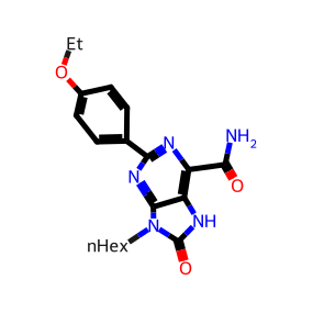 CCCCCCn1c(=O)[nH]c2c(C(N)=O)nc(-c3ccc(OCC)cc3)nc21